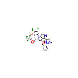 COc1c([C@@H]2C[C@](C)(C(F)(F)F)OC[C@H]2c2cc(OCc3ccccc3)c3c(-c4nnn(C)c4C)nccc3n2)ccc(F)c1F